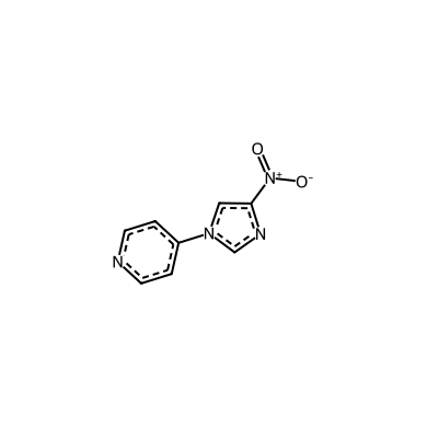 O=[N+]([O-])c1cn(-c2ccncc2)cn1